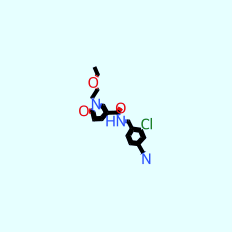 CCOCCn1cc(C(=O)NCc2ccc(C#N)cc2Cl)ccc1=O